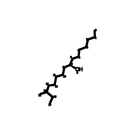 CCCCCCC[C@@H](O)CCCCCC(C)CC